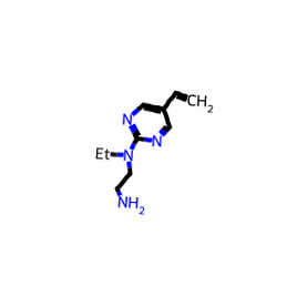 C=Cc1cnc(N(CC)CCN)nc1